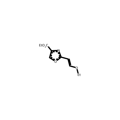 CCOC=Cc1nc(C(=O)OCC)co1